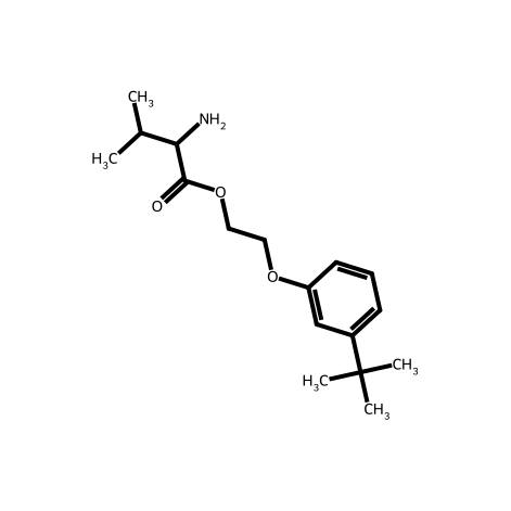 CC(C)C(N)C(=O)OCCOc1cccc(C(C)(C)C)c1